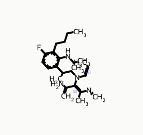 C=N/C(C)=C(/C(=C)N)N(/C=C\C)CC(C)c1ccc(F)c(CCCC)c1NC(C)C